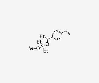 C=Cc1ccc(C(CC)O[Si](CC)(CC)OC)cc1